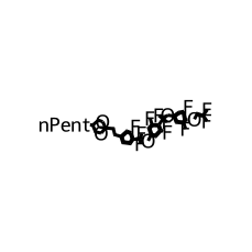 CCCCCC1COC(CCc2ccc(C(F)(F)Oc3cc(F)c(C(F)(F)Oc4cc(F)c(OC=C(F)F)c(F)c4)c(F)c3)c(F)c2)OC1